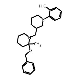 Cc1ccccc1N1CCCC(CN2CCCCC2(C)OCc2ccccc2)C1